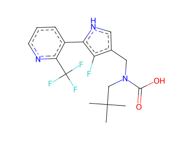 CC(C)(C)CN(Cc1c[nH]c(-c2cccnc2C(F)(F)F)c1F)C(=O)O